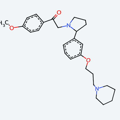 COc1ccc(C(=O)CN2CCCC2c2cccc(OCCCN3CCCCC3)c2)cc1